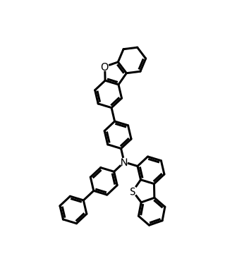 C1=Cc2c(oc3ccc(-c4ccc(N(c5ccc(-c6ccccc6)cc5)c5cccc6c5sc5ccccc56)cc4)cc23)CC1